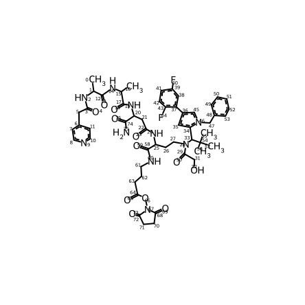 CC(NC(=O)Cc1ccncc1)C(=O)NC(C)C(=O)NC(CC(=O)NC(CCN(C(=O)CO)C(c1cc(-c2cc(F)ccc2F)cn1Cc1ccccc1)C(C)(C)C)C(=O)NCCCC(=O)ON1C(=O)CCC1=O)C(N)=O